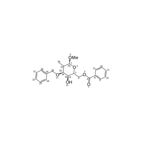 CO[C@H]1OC(COC(=O)c2ccccc2)[C@@H](O)[C@@H](OCc2ccccc2)C1C